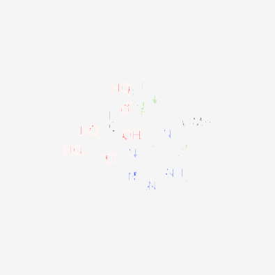 COc1nc(-c2cn([C@@H]3O[C@H](CO)[C@@H](O)[C@@]3(C)O)c3ncnc(N)c23)cs1.O=C(O)C(F)(F)F